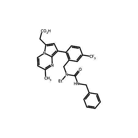 CCN(Cc1cc(C(F)(F)F)ccc1-c1cc(CC(=O)O)n2ccc(C)nc12)C(=O)NCc1ccccc1